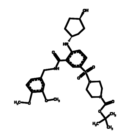 COc1ccc(CNC(=O)c2cc(S(=O)(=O)N3CCN(C(=O)OC(C)(C)C)CC3)ccc2N[C@H]2CC[C@H](O)CC2)cc1OC